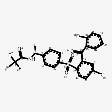 C[C@H](NC(=O)C(F)(F)F)c1ccc(S(=O)(=O)c2ccc(Cl)cc2C(=O)c2ccccc2F)cc1